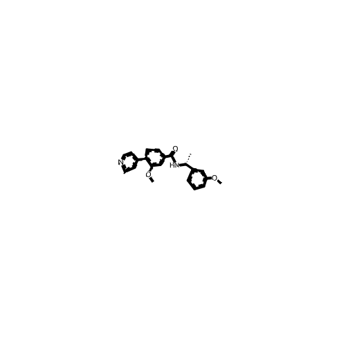 COc1cccc([C@@H](C)NC(=O)c2ccc(-c3ccncc3)c(OC)c2)c1